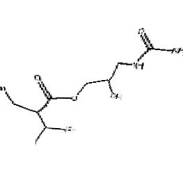 CC(C)C(I)C(CC(C)(C)C)C(=O)OCC(O)CNC(N)=O